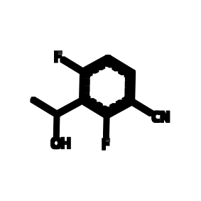 CC(O)c1c(F)ccc(C#N)c1F